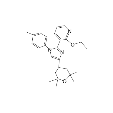 CCOc1ncccc1-c1nc(C2CC(C)(C)OC(C)(C)C2)cn1-c1ccc(C)cc1